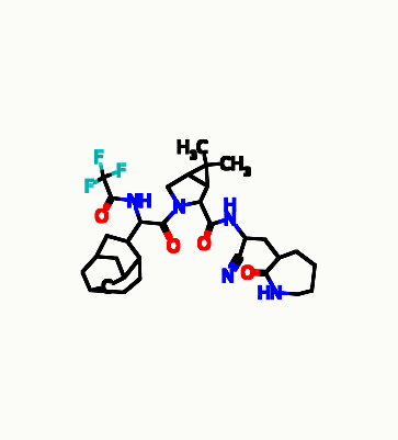 CC1(C)C2CN(C(=O)C(NC(=O)C(F)(F)F)C3CC4CC5CCC3C(C5)C4)C(C(=O)NC(C#N)CC3CCCCNC3=O)C21